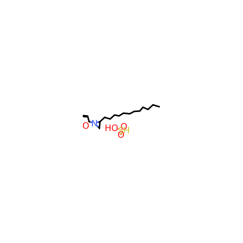 C=CC(=O)N1CC1CCCCCCCCCCCC.O=[SH](=O)O